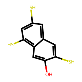 Oc1cc2c(S)cc(S)cc2cc1S